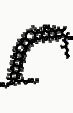 C=CCC(=C)/C=C/[C@@](C)(O)C1O[C@]2(C)C[C@]3(C)O[C@]4(C)C[C@]5(C)O[C@]6(C)C[C@]7(C)O[C@]8(C)C[C@]9(C)O[C@]%10(C)C[C@]%11(C)O[C@](C)(CCOS(=O)(=O)O)C(C)(OS(=O)(=O)O)C[C@@]%11(C)O[C@@]%10(C)C[C@@]9(C)O[C@@]8(C)CC[C@@]7(C)O[C@@]6(C)CC[C@H](C)[C@@]5(C)O[C@@]4(C)[C@@H](O)[C@@]3(C)O[C@@]2(C)CC1=C